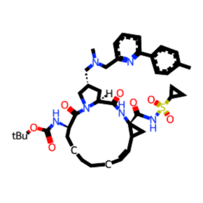 Cc1ccc(-c2cccc(CN(C)C[C@@H]3C[C@H]4C(=O)N[C@]5(C(=O)NS(=O)(=O)C6CC6)CC5/C=C\CCCCC[C@@H](NC(=O)OC(C)(C)C)C(=O)N4C3)n2)cc1